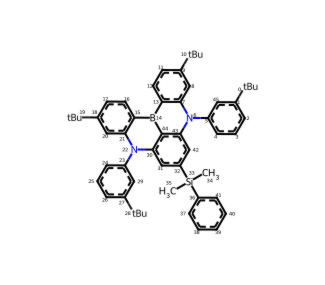 CC(C)(C)c1cccc(N2c3cc(C(C)(C)C)ccc3B3c4ccc(C(C)(C)C)cc4N(c4cccc(C(C)(C)C)c4)c4cc([Si](C)(C)c5ccccc5)cc2c43)c1